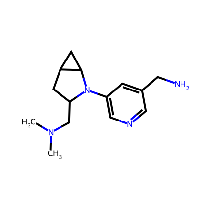 CN(C)CC1CC2CC2N1c1cncc(CN)c1